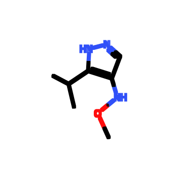 CONc1cn[nH]c1C(C)C